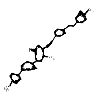 Cc1ccc(CCc2ccc(C#Cc3cc(F)c(-c4ccc(-c5ccc(C)cc5)cc4)cc3C)cc2)cc1